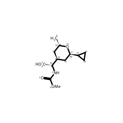 COC(=O)N[C@H](C(=O)O)[C@H]1C[C@H](C)O[C@@H](C2CC2)C1